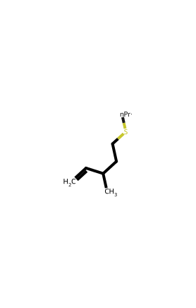 C=CC(C)CCS[CH]CC